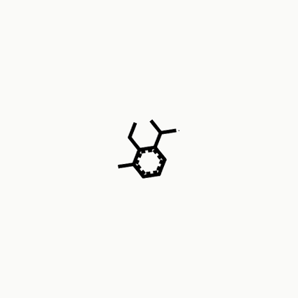 [CH2]C(C)c1cccc(C)c1CC